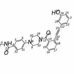 CCCNC(=O)c1ccc(N2CCN(C(=O)c3ccccc3C#Cc3cccc(O)c3)CC2)cc1